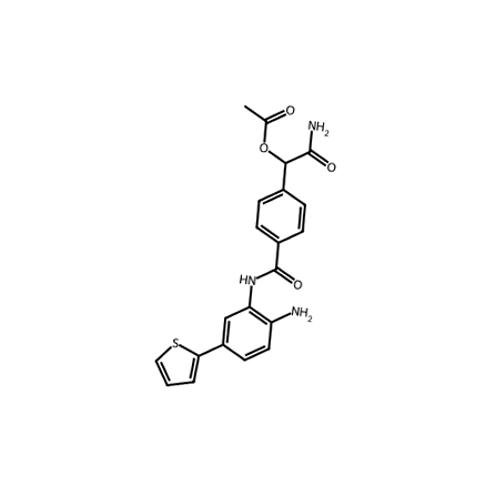 CC(=O)OC(C(N)=O)c1ccc(C(=O)Nc2cc(-c3cccs3)ccc2N)cc1